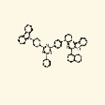 c1ccc(-c2nc(-c3ccc(-c4cccc5c4nc(-c4cccc6ccccc46)c4oc6ccccc6c45)cc3)nc(-c3ccc(-n4c5ccccc5c5ccccc54)cc3)n2)cc1